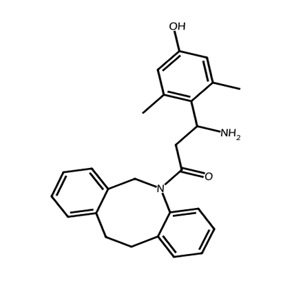 Cc1cc(O)cc(C)c1C(N)CC(=O)N1Cc2ccccc2CCc2ccccc21